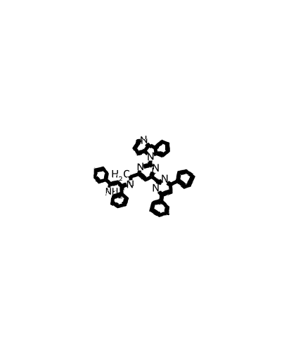 C=C(/N=C(\C=C(/N)c1ccccc1)c1ccccc1)c1cc(-c2nc(-c3ccccc3)cc(-c3ccccc3)n2)nc(-n2c3ccccc3c3ncccc32)n1